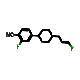 N#Cc1ccc(C2CCC(C/C=C/F)CC2)cc1F